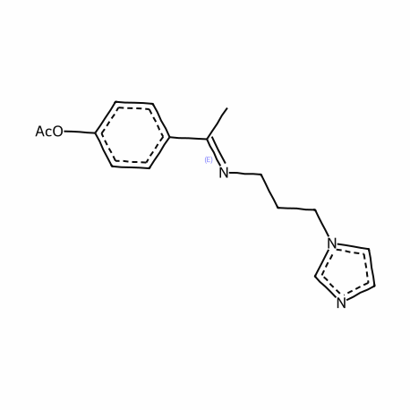 CC(=O)Oc1ccc(/C(C)=N/CCCn2ccnc2)cc1